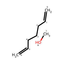 C=CCCCC=C.CO